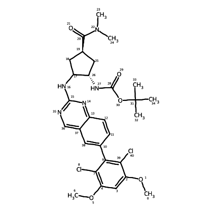 COc1cc(OC)c(Cl)c(-c2ccc3nc(NC4C[C@@H](C(=O)N(C)C)C[C@@H]4NC(=O)OC(C)(C)C)ncc3c2)c1Cl